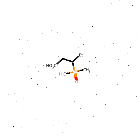 CCC(CC(=O)O)P(C)(C)=O